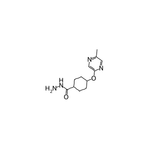 Cc1cnc(OC2CCC(C(=O)NN)CC2)cn1